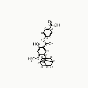 COc1cc(O)c(C(=O)Sc2ccc(C(=O)O)cc2)cc1C12CC3CC(CC(C3)C1)C2